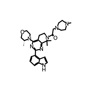 C[C@@H]1COCCN1c1nc(-c2cccc3[nH]ccc23)nc2c1CCN(C(=O)CN1CCN(C)CC1)C2(C)C